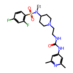 CCN(C1CCN(CCNC(=O)Nc2cc(C)nc(C)c2)CC1)S(=O)(=O)c1ccc(F)cc1F